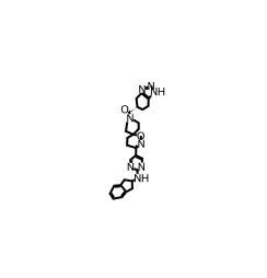 O=C([C@H]1CCc2[nH]nnc2C1)N1CCC2(CCC(c3cnc(NC4Cc5ccccc5C4)nc3)=NO2)CC1